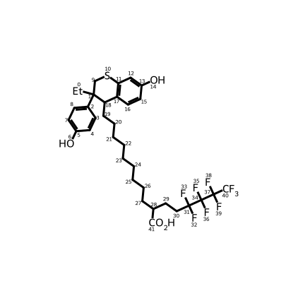 CCC1(c2ccc(O)cc2)CSc2cc(O)ccc2C1CCCCCCCCCC(CCC(F)(F)C(F)(F)C(F)(F)C(F)(F)F)C(=O)O